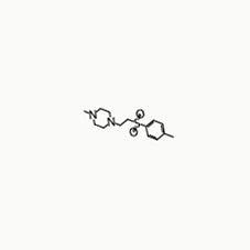 Cc1ccc(S(=O)(=O)CCN2CCN(C)CC2)cc1